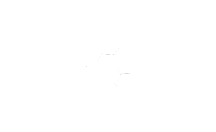 CCCC.NC(=S)S.[PbH2]